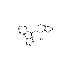 OC1c2cncn2CCC1C1c2ccccc2-c2cncn21